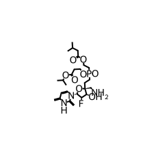 C=C1C=CN([C@@H]2O[C@](CN)(CCP(=O)(CCOC(=O)CC(C)C)OCCC(=O)OC(C)C)[C@@H](O)[C@H]2F)C(=C)N1